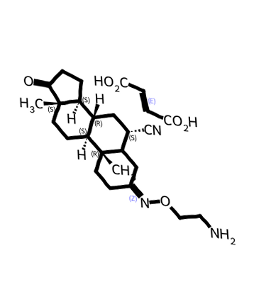 C[C@]12CC/C(=N/OCCN)CC1[C@@H](C#N)C[C@@H]1[C@@H]2CC[C@]2(C)C(=O)CC[C@@H]12.O=C(O)/C=C/C(=O)O